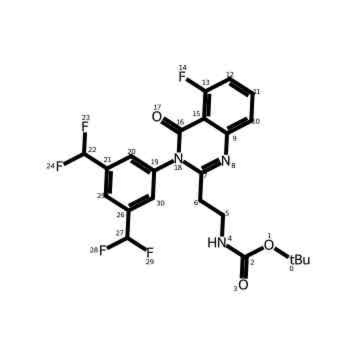 CC(C)(C)OC(=O)NCCc1nc2cccc(F)c2c(=O)n1-c1cc(C(F)F)cc(C(F)F)c1